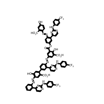 O=C(O)c1cc(O)ccc1/N=N/c1ccc(OC(=O)c2cc(/N=N/c3ccc(-c4cc(O)c(/N=N/c5ccccc5-c5ccnc(Nc6ccc(C(F)(F)F)cc6)n5)cc4C(=O)O)cc3-c3ccnc(Nc4ccc(C(F)(F)F)cc4)n3)cc(C(=O)O)c2O)cc1-c1ccnc(Nc2ccc(C(F)(F)F)cc2)n1